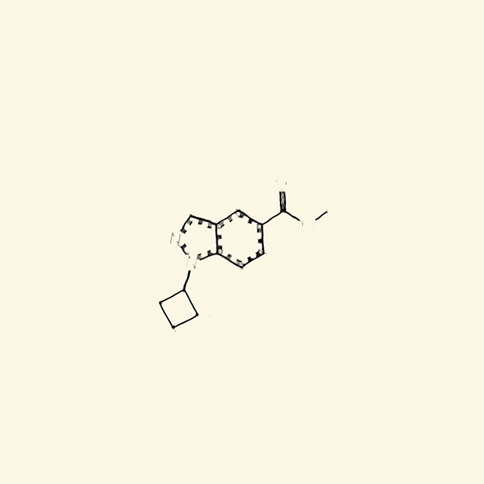 COC(=O)c1ccc2c(cnn2C2CCC2)c1